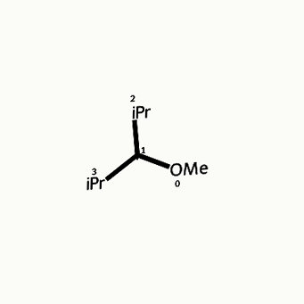 CO[C](C(C)C)C(C)C